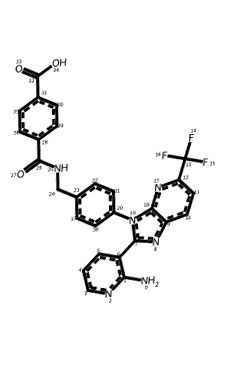 Nc1ncccc1-c1nc2ccc(C(F)(F)F)nc2n1-c1ccc(CNC(=O)c2ccc(C(=O)O)cc2)cc1